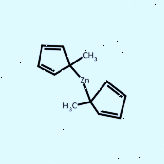 C[C]1([Zn][C]2(C)C=CC=C2)C=CC=C1